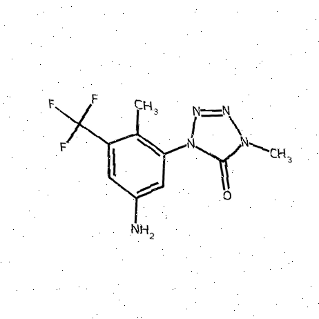 Cc1c(-n2nnn(C)c2=O)cc(N)cc1C(F)(F)F